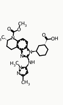 COC(=O)N1c2ccc3c(nc(Nc4cc(C)nn4C)n3[C@@H]3CCC[C@@H](C(=O)O)C3)c2CC[C@@H]1C